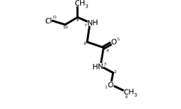 COCNC(=O)CNC(C)CCl